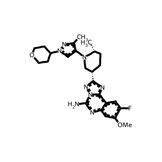 COc1cc2nc(N)n3nc([C@H]4CC[C@@H](C)N(c5cn(C6CCOCC6)nc5C)C4)nc3c2cc1F